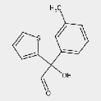 Cc1cccc(C(O)(C=O)c2cccs2)c1